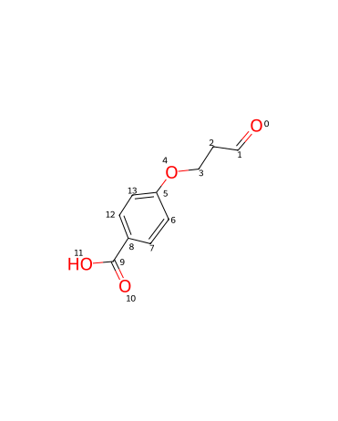 O=CCCOc1ccc(C(=O)O)cc1